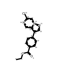 CCOC(=O)c1ccc(-c2cnn3cc(Cl)ncc23)cc1